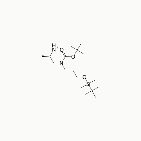 C[C@@H](N)CN(CCCO[Si](C)(C)C(C)(C)C)C(=O)OC(C)(C)C